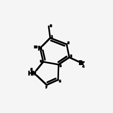 Cc1cc(Br)c2cc[nH]c2n1